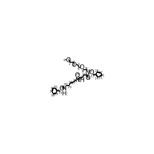 COCCOCCOCCN(OCc1ccccc1)C(=O)CCC(=O)NCCCCCNOCc1ccccc1